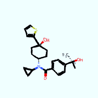 C[C@](O)(c1ccc(C(=O)N(C2CC2)[C@H]2CC[C@@](O)(c3cccs3)CC2)cc1)C(F)(F)F